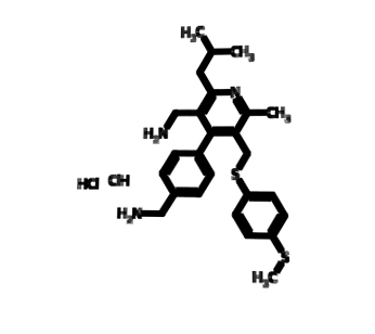 CSc1ccc(SCc2c(C)nc(CC(C)C)c(CN)c2-c2ccc(CN)cc2)cc1.Cl.Cl